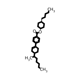 CCCCCC(C)C1CC=C(c2ccc(C(=O)O[C@H]3CC[C@H](CCCCC)CC3)cc2)CC1